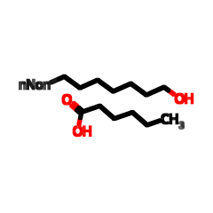 CCCCCC(=O)O.CCCCCCCCCCCCCCCCO